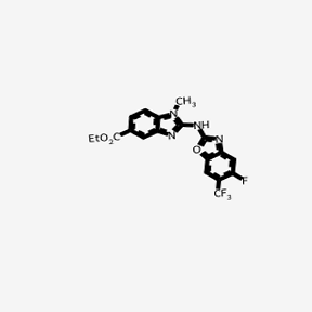 CCOC(=O)c1ccc2c(c1)nc(Nc1nc3cc(F)c(C(F)(F)F)cc3o1)n2C